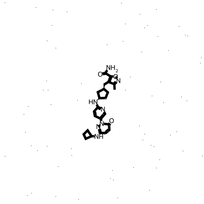 Cc1noc(C(N)=O)c1C[C@H]1CC[C@H](Nc2ccc(-n3nc(NC4CCC4)ccc3=O)cn2)C1